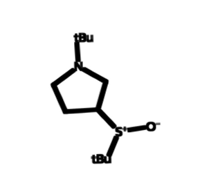 CC(C)(C)N1CCC([S+]([O-])C(C)(C)C)C1